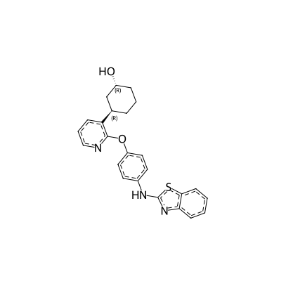 O[C@@H]1CCC[C@@H](c2cccnc2Oc2ccc(Nc3nc4ccccc4s3)cc2)C1